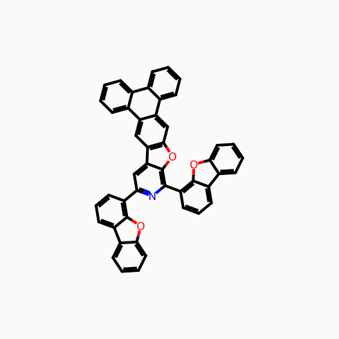 c1ccc2c(c1)oc1c(-c3cc4c(oc5cc6c7ccccc7c7ccccc7c6cc54)c(-c4cccc5c4oc4ccccc45)n3)cccc12